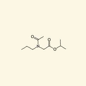 CCCN(CC(=O)OC(C)C)C(C)=O